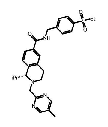 CCS(=O)(=O)c1ccc(CNC(=O)c2ccc3c(c2)CCN(Cc2ncc(C)cn2)[C@@H]3C(C)C)cc1